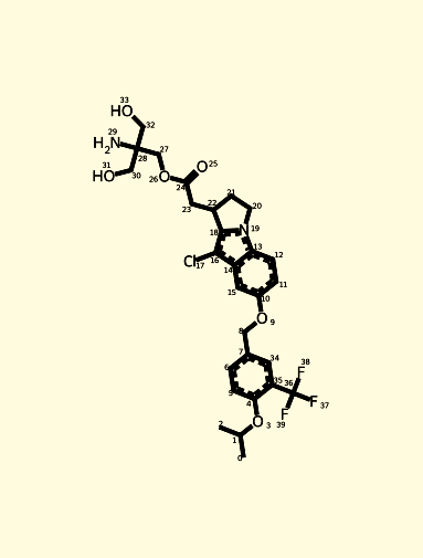 CC(C)Oc1ccc(COc2ccc3c(c2)c(Cl)c2n3CCC2CC(=O)OCC(N)(CO)CO)cc1C(F)(F)F